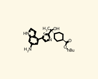 CCCCOC(=O)[C@H]1CC[C@H](C(C)(O)c2ncc(-c3cc(N)cc4[nH]ccc34)s2)CC1